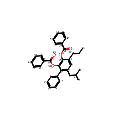 CCCc1cc(CC(C)C)c(-c2ccccc2)c(OC(=O)c2ccccc2)c1OC(=O)c1ccccc1